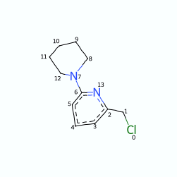 ClCc1cccc(N2CCCCC2)n1